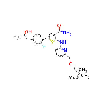 COC(C)(C)CCOCc1cccc(Nc2sc(-c3ccc(CC(C)O)cc3F)cc2C(N)=O)n1